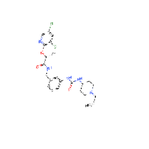 CC[C@@H](Oc1ncc(Cl)cc1Cl)C(=O)NCc1cccc(NC(=O)NC2CCN(CC(=O)O)CC2)c1